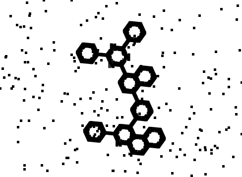 c1ccc(-c2cc(-c3cccc(-c4ccc(-c5nc(-c6ccccc6)nc(-c6ccccc6)n5)c5ccccc45)c3)c3c(ccc4ccccc43)n2)cc1